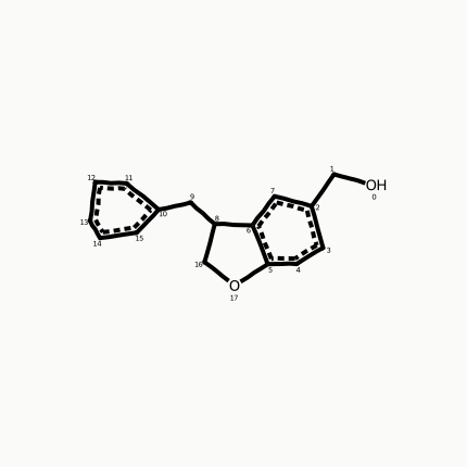 OCc1ccc2c(c1)C(Cc1ccccc1)CO2